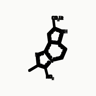 CCOC(=O)c1cc2c(ccn3c([N+](=O)[O-])c(C)nc23)[nH]1